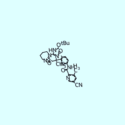 Cc1cc(C#N)cnc1C(=O)Nc1ccc(F)c([C@]2(C)C[S@@]3(=O)=NCCCCN3C(NC(=O)OC(C)(C)C)=N2)n1